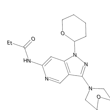 CCC(=O)Nc1cc2c(cn1)c(N1CC3CC(C1)O3)nn2C1CCCCO1